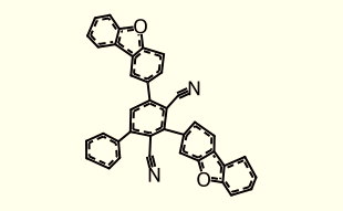 N#Cc1c(-c2ccccc2)cc(-c2ccc3oc4ccccc4c3c2)c(C#N)c1-c1ccc2c(c1)oc1ccccc12